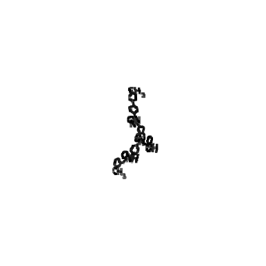 Cc1ccc(-c2ccc(-c3nc(-c4ccc(CN(CC(=O)O)C(=O)c5ccc(NC(=O)Cc6cccc(C)c6)cc5)cc4)no3)cc2)cc1